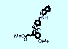 COC(=O)CCc1cn(S(=O)(=O)c2ccc(CNc3cc4ccccc4cn3)cc2)c2ccc(OC)cc12